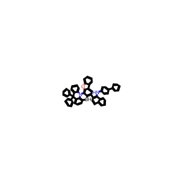 B1c2cccc3c2N(c2ccccc2C3(c2ccccc2)c2ccccc2)c2c1c(-c1ccc3ccccc3c1Nc1ccc(-c3ccccc3)cc1)cc1c2oc2ccccc21